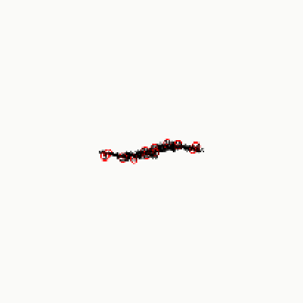 C=CC(=O)OCCCCCCOc1ccc(CC(=O)C2CCC(C(=O)Oc3cc(C)c(OC(=O)C4CCC(C(=O)Cc5ccc(OCCCCCCOC(=O)C=C)cc5)CC4)c(C)c3C)CC2)cc1